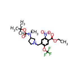 CCOC(=O)c1cc(OC(F)(F)F)c(CN2CCC(N(C)C(=O)OC(C)(C)C)C2)cc1[N+](=O)[O-]